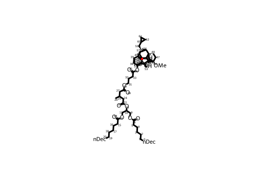 CCCCCCCCCCCCCCCC(=O)OCC(COC(=O)CCCCCCCCCCCCCCC)OC(=O)CC(C)CC(=O)OCCCC(=O)Oc1ccc2c3c1O[C@H]1[C@]4(OC)CC[C@@]5(C[C@@H]4[C@](C)(O)C(C)(C)C)C(C2)N(CC2CC2)CC[C@]315